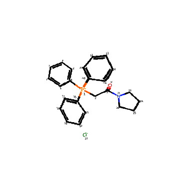 O=C(C[P+](c1ccccc1)(c1ccccc1)c1ccccc1)N1CCCC1.[Cl-]